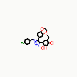 CCc1cc(-c2nnn(Cc3ccc(F)cc3)c2-c2ccc3c(c2)OCCO3)c(O)cc1O